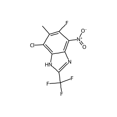 Cc1c(F)c([N+](=O)[O-])c2nc(C(F)(F)F)[nH]c2c1Cl